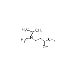 CC(O)CCN(C)N(C)C